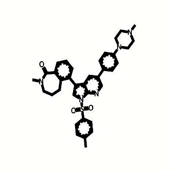 Cc1ccc(S(=O)(=O)n2cc(-c3cccc4c3CCCN(C)C4=O)c3cc(-c4ccc(N5CCN(C)CC5)cc4)cnc32)cc1